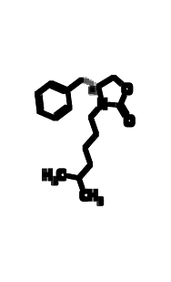 CC(C)CCCCN1C(=O)OC[C@H]1Cc1ccccc1